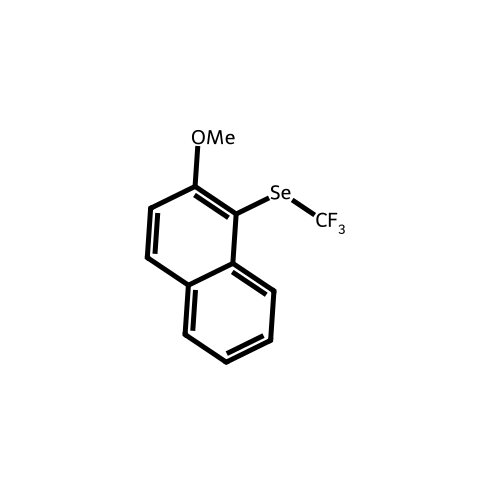 COc1ccc2ccccc2c1[Se]C(F)(F)F